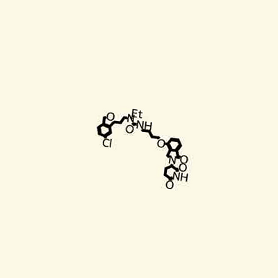 CCN(CCC1OCc2ccc(Cl)cc21)C(=O)NCCCCOc1cccc2c1CN(C1CCC(=O)NC1=O)C2=O